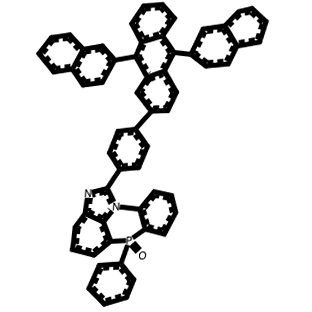 O=P1(c2ccccc2)c2ccccc2-n2c(-c3ccc(-c4ccc5c(-c6ccc7ccccc7c6)c6ccccc6c(-c6ccc7ccccc7c6)c5c4)cc3)nc3cccc1c32